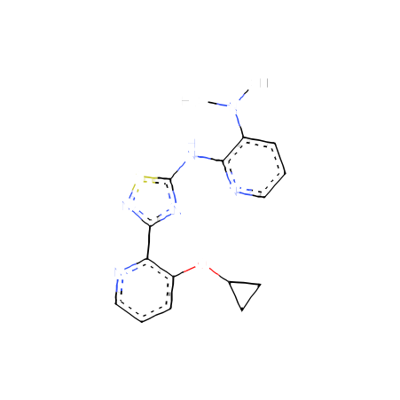 CN(C)c1cccnc1Nc1nc(-c2ncccc2OC2CC2)ns1